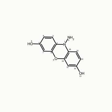 NN1c2ccc(O)cc2Oc2cc(O)ccc21